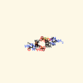 Cc1nc2c(ncn2[C@@H]2O[C@@H]3CO[P@@](=O)(S)O[C@H]4[C@@H](O)[C@H](n5cnc6c(N)ncnc65)[C@H]5C[C@]54COP(=O)(O)O[C@@H]2[C@@H]3F)c(=O)[nH]1